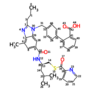 CCCc1nc2c(C)cc(C(=O)N[C@@H](CSC(=O)c3ccccn3)CC(C)C)cc2n1Cc1ccc(-c2ccccc2C(=O)O)cc1